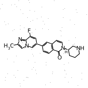 Cc1cn2cc(-c3ccc4c(=O)n([C@@H]5CCCNC5)ccc4c3)cc(F)c2n1